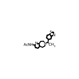 CC(=O)Nc1ccc2c(n1)CCN(C(C)c1ccc3scnc3c1)CC2